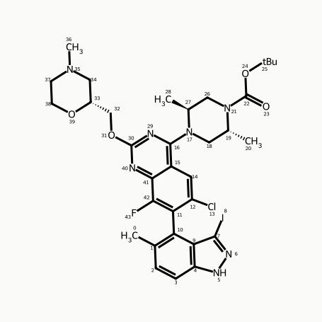 Cc1ccc2[nH]nc(I)c2c1-c1c(Cl)cc2c(N3C[C@@H](C)N(C(=O)OC(C)(C)C)C[C@@H]3C)nc(OC[C@H]3CN(C)CCO3)nc2c1F